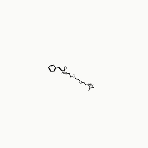 CC(C)NCCOCCOCCNC(=O)/C=C/c1ccccc1